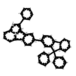 c1ccc(-c2nc3cccc4c5ccc(-c6ccc7c(c6)C(c6ccccc6)(c6ccccc6)c6ccccc6-7)cc5c2n34)cc1